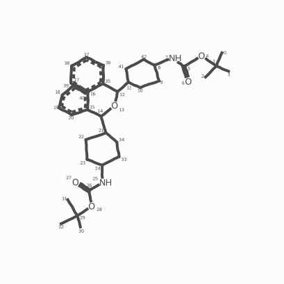 CC(C)(C)OC(=O)NC1CCC(C(OC(c2ccccc2)C2CCC(NC(=O)OC(C)(C)C)CC2)c2ccccc2)CC1